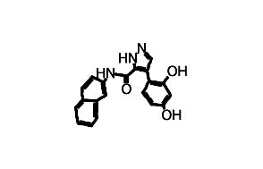 O=C(Nc1ccc2ccccc2c1)c1[nH]ncc1-c1ccc(O)cc1O